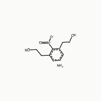 N.O=[N+]([O-])c1c(CCO)cccc1CCO